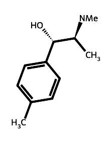 CN[C@@H](C)[C@@H](O)c1ccc(C)cc1